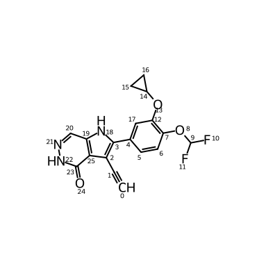 C#Cc1c(-c2ccc(OC(F)F)c(OC3CC3)c2)[nH]c2cn[nH]c(=O)c12